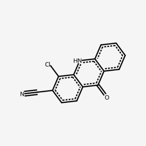 N#Cc1ccc2c(=O)c3ccccc3[nH]c2c1Cl